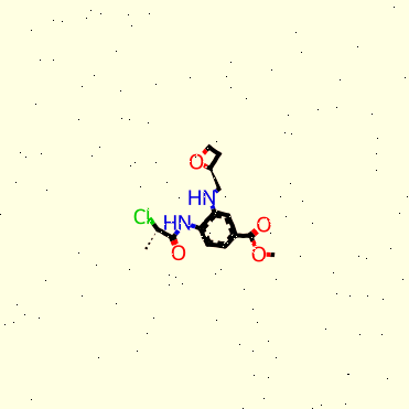 COC(=O)c1ccc(NC(=O)[C@H](C)Cl)c(NC[C@@H]2CCO2)c1